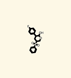 O=S(=O)(c1ccccc1)C1CO[C](O)C(c2ccc(F)cc2)C1